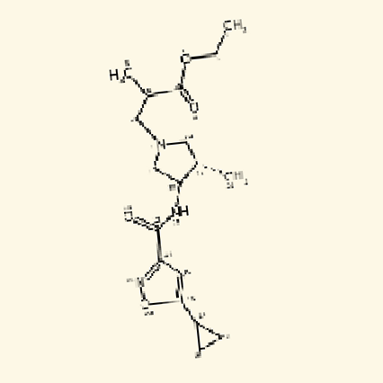 CCOC(=O)C(C)CN1CC(NC(=O)c2cc(C3CC3)on2)[C@@H](C)C1